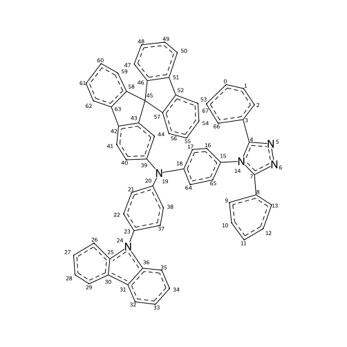 c1ccc(-c2nnc(-c3ccccc3)n2-c2ccc(N(c3ccc(-n4c5ccccc5c5ccccc54)cc3)c3ccc4c(c3)C3(c5ccccc5-c5ccccc53)c3ccccc3-4)cc2)cc1